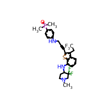 CN1CCC(Nc2cccc3c(CC(F)(F)F)c(C#CCNc4ccc(P(C)(C)=O)cc4)sc23)C(F)(F)C1